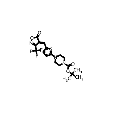 CC(C)(C)OC(=O)N1CCN(c2ccc(/C=C3/C(=O)ON=C3C(F)(F)F)s2)CC1